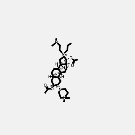 CCCN(CCN(C)C)[C@H]1C[C@H]2[C@@H]3CC[C@H]4C[C@H](OC(C)=O)[C@@H](N5CC[N+](C)(C)CC5)C[C@]4(C)[C@H]3CC[C@]2(C)[C@H]1OC(C)=O